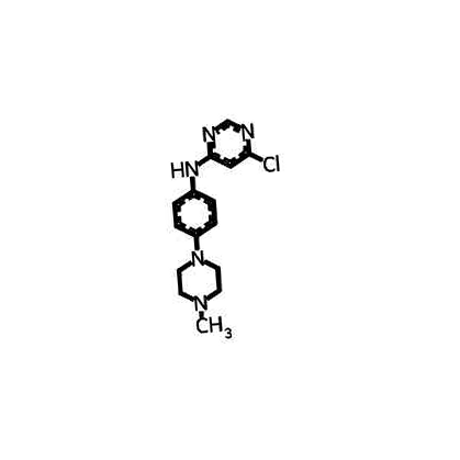 CN1CCN(c2ccc(Nc3cc(Cl)ncn3)cc2)CC1